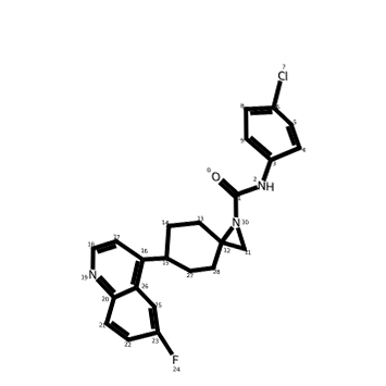 O=C(Nc1ccc(Cl)cc1)N1CC12CCC(c1ccnc3ccc(F)cc13)CC2